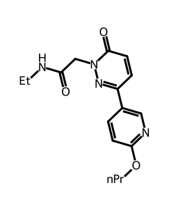 CCCOc1ccc(-c2ccc(=O)n(CC(=O)NCC)n2)cn1